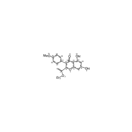 C=C(OCC)c1oc2cc(O)cc(O)c2c(=O)c1-c1ccc(OC)cc1